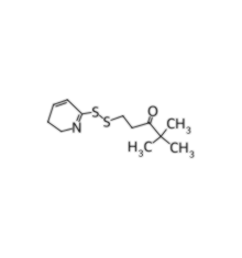 CC(C)(C)C(=O)CCSSC1=NCCC=C1